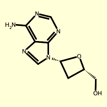 Nc1ncnc2c1ncn2[C@H]1C[C@@H](CO)O1